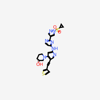 O=S(=O)(C1CC1)n1cc(-c2nccc(Nc3cc(N4CCC[C@H](O)C4)c(C#Cc4ccsc4)cn3)n2)cn1